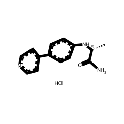 C[C@@H](Nc1ccc(-c2ccncc2)cc1)C(N)=O.Cl